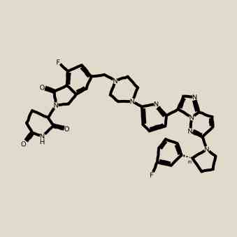 O=C1CCC(N2Cc3cc(CN4CCN(c5cccc(-c6cnc7ccc(N8CCC[C@@H]8c8cccc(F)c8)nn67)n5)CC4)cc(F)c3C2=O)C(=O)N1